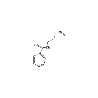 NCCCNC(=O)c1cc[c]cc1